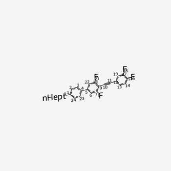 CCCCCCCc1ccc(-c2cc(F)c(C#Cc3ccc(F)c(F)c3)c(F)c2)cc1